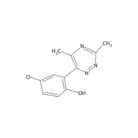 Cc1nnc(-c2cc(Cl)ccc2O)c(C)n1